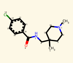 CN1CCC(C)(CNC(=O)c2ccc(Cl)cc2)CC1